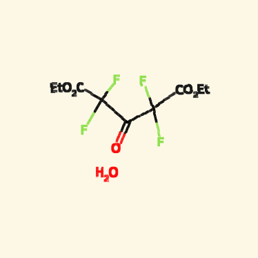 CCOC(=O)C(F)(F)C(=O)C(F)(F)C(=O)OCC.O